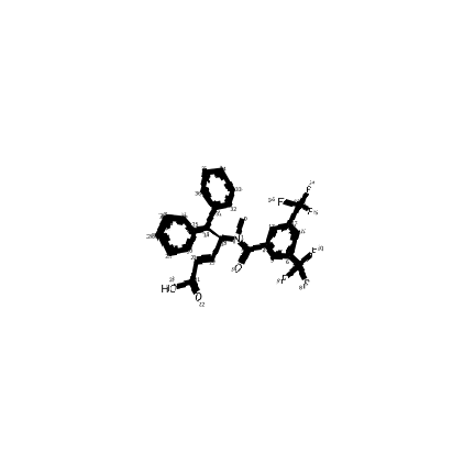 CN(C(=O)c1cc(C(F)(F)F)cc(C(F)(F)F)c1)[C@@H](C=CC(=O)O)C(c1ccccc1)c1ccccc1